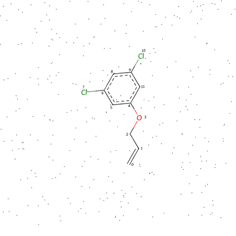 C=CCOc1[c]c(Cl)cc(Cl)c1